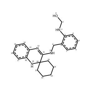 OCNc1ccccc1CNC1=Nc2ccccc2NC12CCCCC2